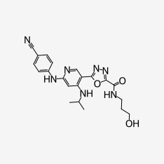 CC(C)Nc1cc(Nc2ccc(C#N)cc2)ncc1-c1nnc(C(=O)NCCCO)o1